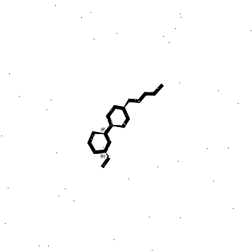 CCCCC[C@H]1CC[C@@H]([C@@H]2CCC[C@@H](CC)C2)CC1